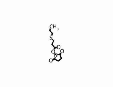 CCCSCCC(=O)ON1C(=O)CCC1=O